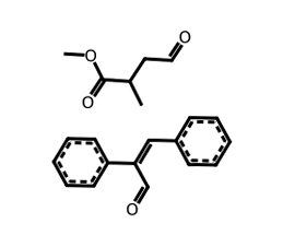 COC(=O)C(C)CC=O.O=C/C(=C\c1ccccc1)c1ccccc1